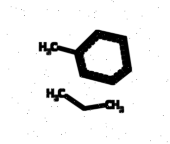 CCC.Cc1ccccc1